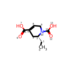 CC[C@@H]1CC(C(=O)O)=CCN1C(=O)O